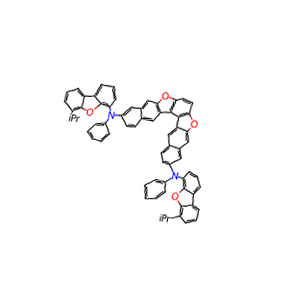 CC(C)c1cccc2c1oc1c(N(c3ccccc3)c3ccc4cc5c(cc4c3)oc3ccc4oc6cc7cc(N(c8ccccc8)c8cccc9c8oc8c(C(C)C)cccc89)ccc7cc6c4c35)cccc12